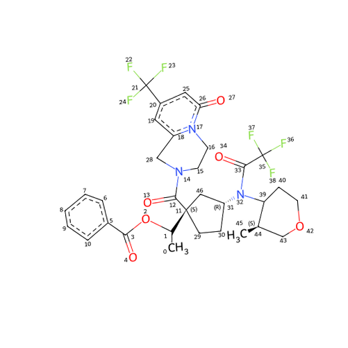 CC(OC(=O)c1ccccc1)[C@]1(C(=O)N2CCn3c(cc(C(F)(F)F)cc3=O)C2)CC[C@@H](N(C(=O)C(F)(F)F)C2CCOC[C@H]2C)C1